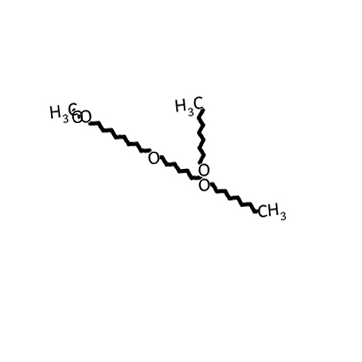 CCCCCCCCCOC(CCCCCCOCCCCCCCCCCOOC)OCCCCCCCCC